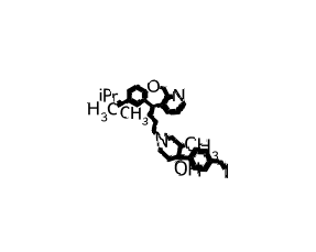 CC(C)C(C)(C)c1ccc2c(c1)/C(=C/CCN1CCC(O)(c3ccc(CI)cc3)C(C)C1)c1cccnc1CO2